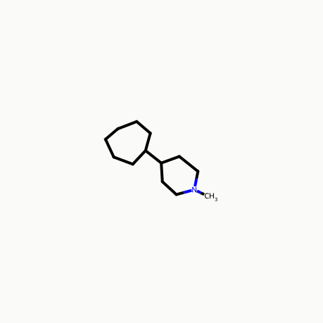 CN1CCC(C2CCCCCC2)CC1